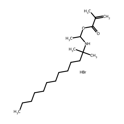 Br.C=C(C)C(=O)OC(C)NC(C)(C)CCCCCCCCCCC